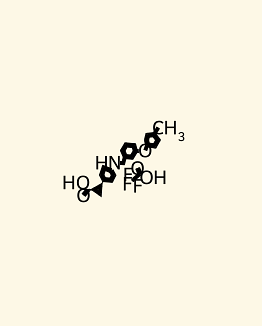 Cc1ccc(Oc2cccc(CNc3ccc([C@@H]4C[C@H]4C(=O)O)cc3)c2)cc1.O=C(O)C(F)(F)F